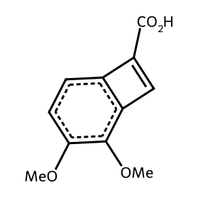 COc1ccc2c(c1OC)C=C2C(=O)O